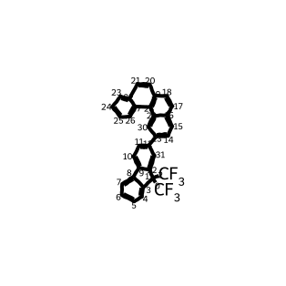 FC(F)(F)C1(C(F)(F)F)c2ccccc2-c2ccc(-c3ccc4ccc5ccc6ccccc6c5c4c3)cc21